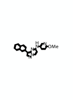 COc1ccc(Nc2ccn3ncc(-c4ccc5ccccc5c4)c3n2)cn1